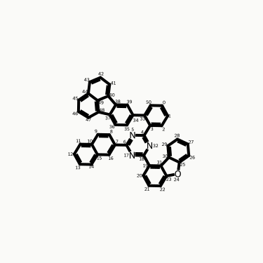 c1ccc(-c2nc(-c3ccc4ccccc4c3)nc(-c3cccc4oc5ccccc5c34)n2)c(-c2ccc3c(c2)-c2cccc4cccc-3c24)c1